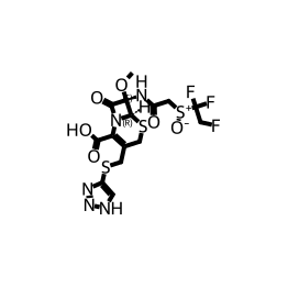 CO[C@@]1(NC(=O)C[S+]([O-])C(F)(F)CF)C(=O)N2C(C(=O)O)=C(CSc3c[nH]nn3)CS[C@@H]21